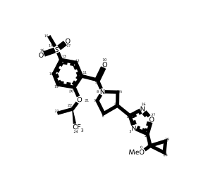 COC1(c2nc(C3CCN(C(=O)c4cc(S(C)(=O)=O)ccc4O[C@H](C)C(F)(F)F)C3)no2)CC1